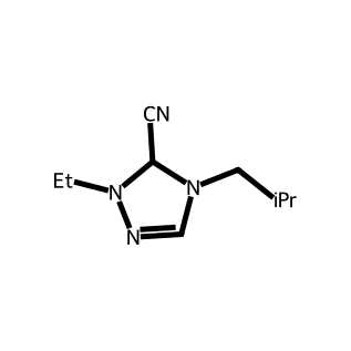 CCN1N=CN(CC(C)C)C1C#N